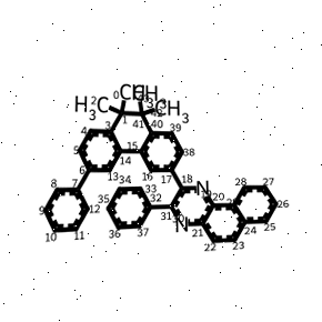 CC1(C)c2ccc(-c3ccccc3)cc2-c2cc(-c3nc4c(ccc5ccccc54)nc3-c3ccccc3)ccc2C1(C)C